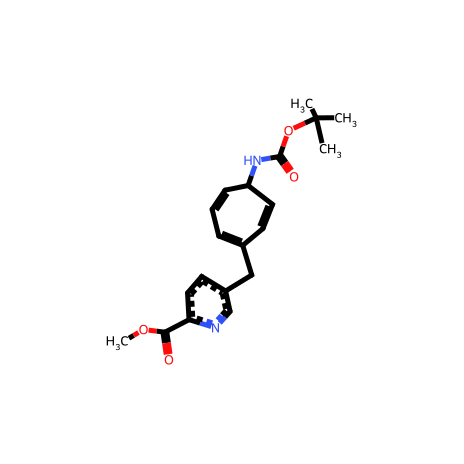 COC(=O)c1ccc(CC2=CC=CC(NC(=O)OC(C)(C)C)C=C2)cn1